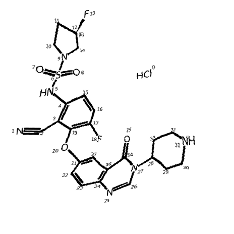 Cl.N#Cc1c(NS(=O)(=O)N2CC[C@@H](F)C2)ccc(F)c1Oc1ccc2ncn(C3CCNCC3)c(=O)c2c1